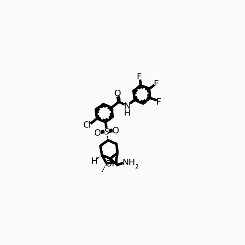 C[C@H]1CC2C[C@@H](S(=O)(=O)c3cc(C(=O)Nc4cc(F)c(F)c(F)c4)ccc3Cl)C[C@H]1[C@@]2(O)CN